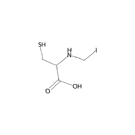 O=C(O)C(CS)NCI